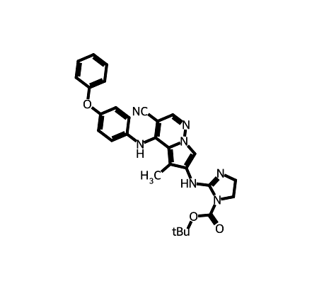 Cc1c(NC2=NCCN2C(=O)OC(C)(C)C)cn2ncc(C#N)c(Nc3ccc(Oc4ccccc4)cc3)c12